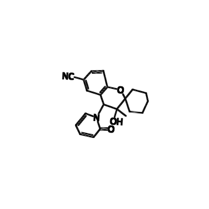 CC1(O)C(n2ccccc2=O)c2cc(C#N)ccc2OC12CCCCC2